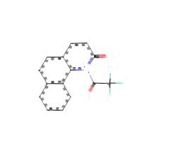 O=C(n1c(=O)ccc2ccc3ccccc3c21)C(F)(F)F